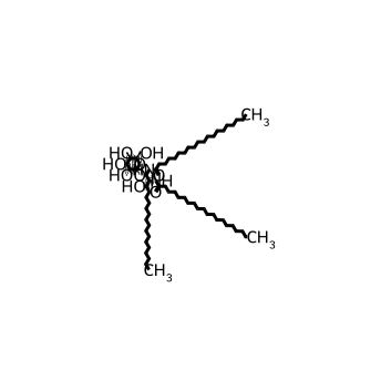 CCCCCCCCCCCCCCCCCCCC(=O)NC(O[C@H]1O[C@H](CO)[C@H](O)[C@H](O)[C@H]1O)[C@@H](NC(=O)CCCCCCCCCCCCCCCCCCC)[C@H](O)CCCCCCCCCCCCCCC